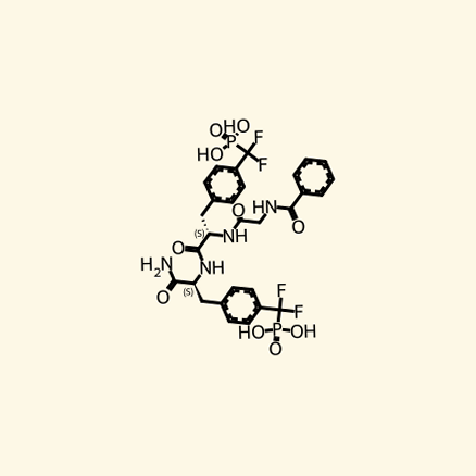 NC(=O)[C@H](Cc1ccc(C(F)(F)P(=O)(O)O)cc1)NC(=O)[C@H](Cc1ccc(C(F)(F)P(=O)(O)O)cc1)NC(=O)CNC(=O)c1ccccc1